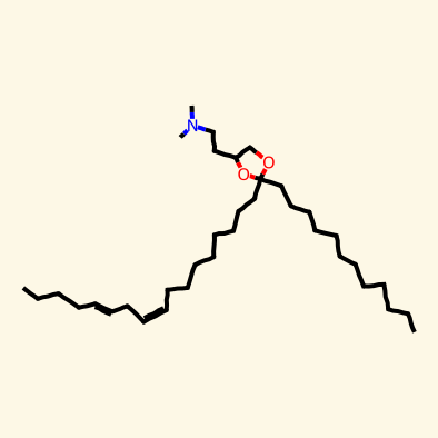 CCCC/C=C/C/C=C\CCCCCCCCC1(CCCCCCCCCCCC)OCC(CCN(C)C)O1